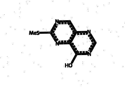 CSc1ncc2ncnc(O)c2n1